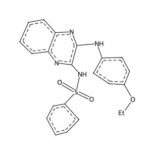 CCOc1ccc(Nc2nc3ccccc3nc2NS(=O)(=O)c2ccccc2)cc1